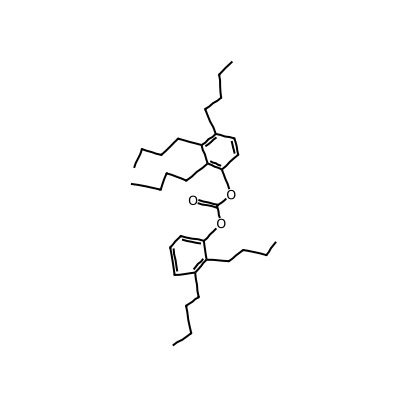 CCCCc1cccc(OC(=O)Oc2ccc(CCCC)c(CCCC)c2CCCC)c1CCCC